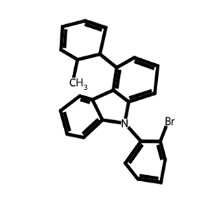 CC1C=CC=CC1c1cccc2c1c1ccccc1n2-c1ccccc1Br